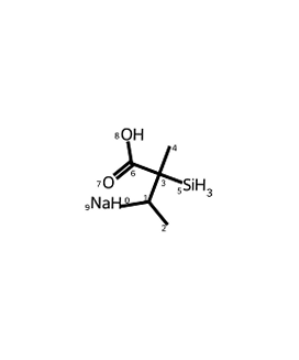 CC(C)C(C)([SiH3])C(=O)O.[NaH]